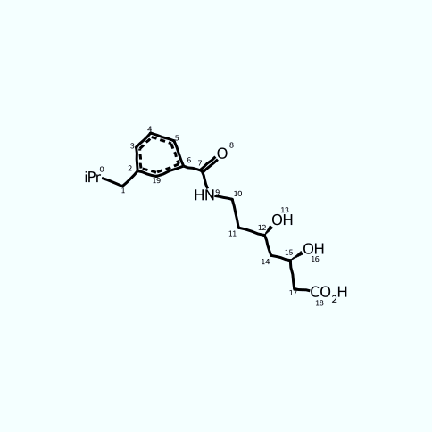 CC(C)Cc1cccc(C(=O)NCC[C@@H](O)C[C@@H](O)CC(=O)O)c1